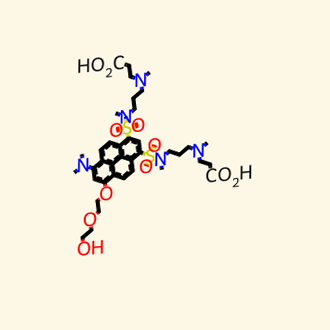 CN(CCCN(C)S(=O)(=O)c1cc(S(=O)(=O)N(C)CCCN(C)CCC(=O)O)c2ccc3c(N(C)C)cc(OCCOCCO)c4ccc1c2c43)CCC(=O)O